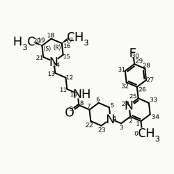 CC1=C(CN2CCC(C(=O)NCCCN3C[C@H](C)C[C@H](C)C3)CC2)N=C(c2ccc(F)cc2)CC1